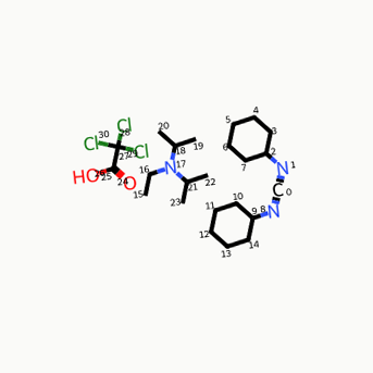 C(=NC1CCCCC1)=NC1CCCCC1.CCN(C(C)C)C(C)C.O=C(O)C(Cl)(Cl)Cl